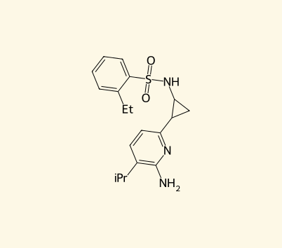 CCc1ccccc1S(=O)(=O)NC1CC1c1ccc(C(C)C)c(N)n1